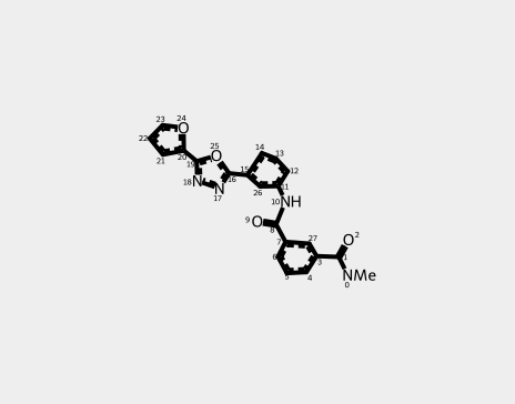 CNC(=O)c1cccc(C(=O)Nc2cccc(-c3nnc(-c4ccco4)o3)c2)c1